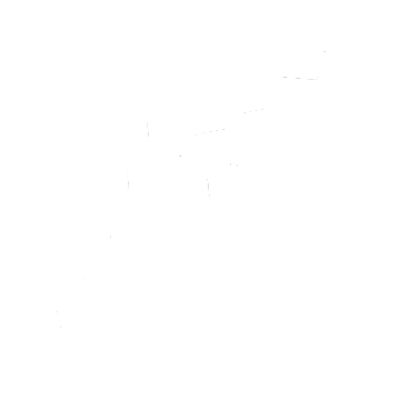 CCCCCCCCC(CC)C(CC)(CCCCCCCC)C([O])=O